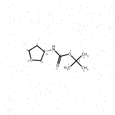 CC(C)(C)OC(=O)N[C@H]1CCOC1